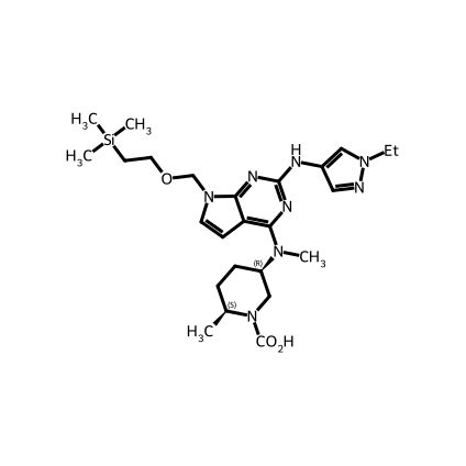 CCn1cc(Nc2nc(N(C)[C@@H]3CC[C@H](C)N(C(=O)O)C3)c3ccn(COCC[Si](C)(C)C)c3n2)cn1